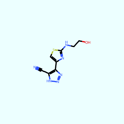 N#Cc1[nH]nnc1-c1csc(NCCO)n1